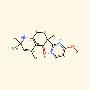 COc1ccnc(C2(C)CCC3=C(C2=O)C(C)=CC(C)(Cl)N3)n1